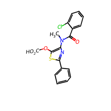 CN(C(=O)c1ccccc1Cl)c1nc(-c2ccccc2)sc1OC(=O)O